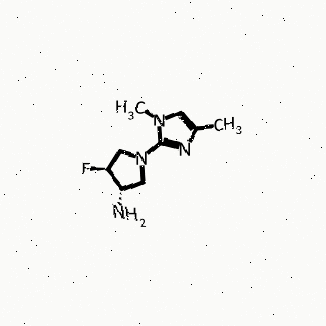 Cc1cn(C)c(N2C[C@H](N)[C@@H](F)C2)n1